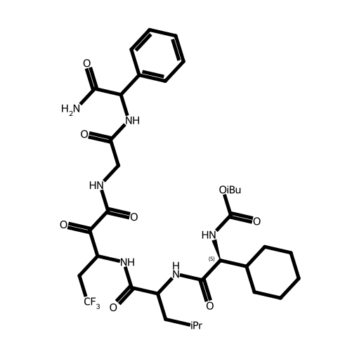 CC(C)COC(=O)N[C@H](C(=O)NC(CC(C)C)C(=O)NC(CC(F)(F)F)C(=O)C(=O)NCC(=O)NC(C(N)=O)c1ccccc1)C1CCCCC1